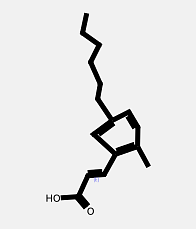 CCCCCCc1ccc(C)c(/C=C/C(=O)O)c1